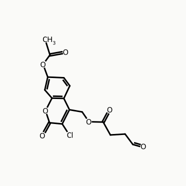 CC(=O)Oc1ccc2c(COC(=O)CCC=O)c(Cl)c(=O)oc2c1